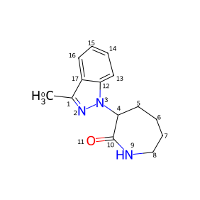 Cc1nn(C2CCCCNC2=O)c2ccccc12